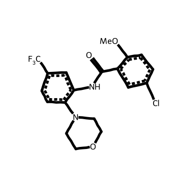 COc1ccc(Cl)cc1C(=O)Nc1cc(C(F)(F)F)ccc1N1CCOCC1